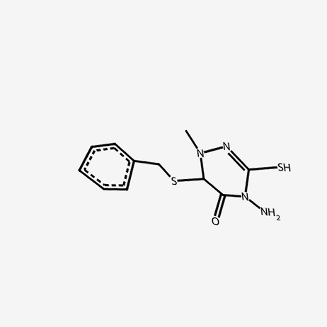 CN1N=C(S)N(N)C(=O)C1SCc1ccccc1